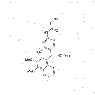 COc1cc(Cc2cnc(NC(=O)CN)nc2N)c2c(c1OC)OCC=C2.Cl.Cl